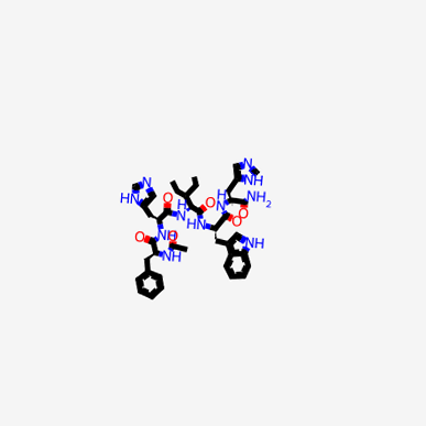 CCC(CC)[C@H](NC(=O)[C@H](Cc1cnc[nH]1)NC(=O)[C@H](Cc1ccccc1)NC(C)=O)C(=O)N[C@@H](Cc1c[nH]c2ccccc12)C(=O)N[C@@H](Cc1cnc[nH]1)C(N)=O